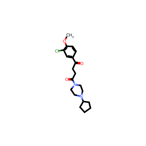 COc1ccc(C(=O)CCC(=O)N2CCN(C3CCCC3)CC2)cc1Cl